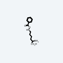 NC(CCCCNOC(=O)c1ccccc1)C(=O)O